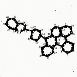 c1ccc(-c2ccccc2-c2c3ccccc3c(-c3ccc(-c4nc5ccccc5o4)cc3)c3ccccc23)cc1